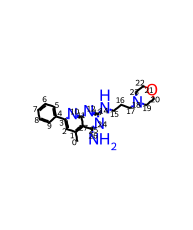 Cc1cc(-c2ccccc2)nc2nc(NCCCN3CCOCC3)nc(N)c12